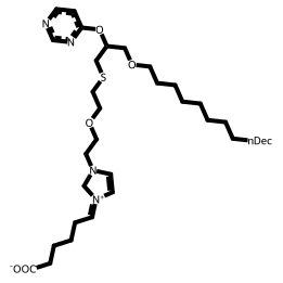 CCCCCCCCCCCCCCCCCCOCC(CSCCOCCN1C=C[N+](=CCCCCC(=O)[O-])C1)Oc1ccncn1